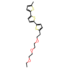 CCOCCOCCOCCc1ccc(-c2ccc(-c3ccc(C)s3)s2)s1